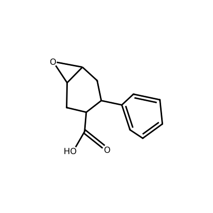 O=C(O)C1CC2OC2CC1c1ccccc1